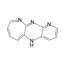 C1=CC=C2Nc3cccnc3N=C2N=C1